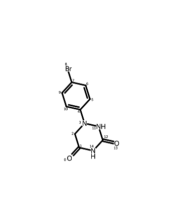 O=C1CN(c2ccc(Br)cc2)NC(=O)N1